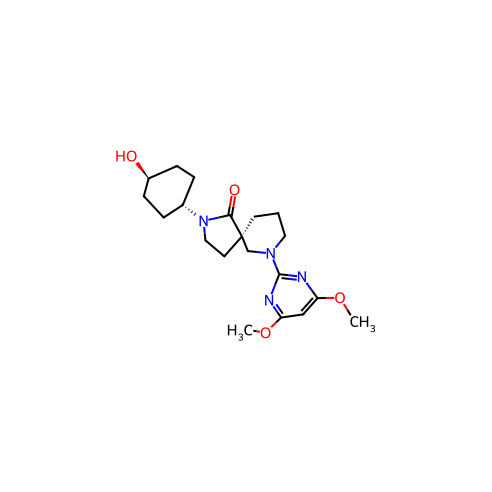 COc1cc(OC)nc(N2CCC[C@@]3(CCN([C@H]4CC[C@H](O)CC4)C3=O)C2)n1